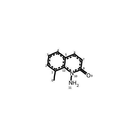 Cc1cccc2ccc(=O)n(N)c12